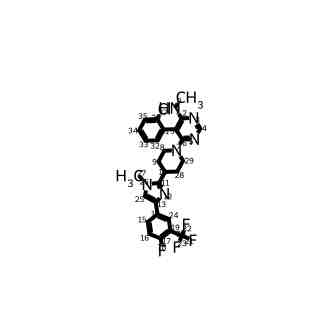 CNc1ncnc(N2CCC(c3nc(-c4ccc(F)c(C(F)(F)F)c4)cn3C)CC2)c1-c1ccccc1Cl